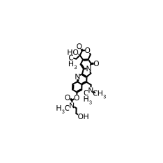 CC[C@@]1(O)C(=O)OCc2c1cc1n(c2=O)Cc2c-1nc1ccc(OC(=O)N(C)CCO)cc1c2CN(C)C